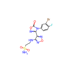 NS(=O)(=O)CCNc1nonc1-c1noc(=O)n1-c1ccc(F)c(Br)c1